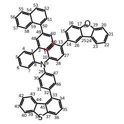 c1cc(-c2ccccc2N(c2ccc(-c3ccc4oc5ccccc5c4c3)cc2)c2ccc(-c3cccc4sc5ccccc5c34)cc2)cc(-c2cccc3ccccc23)c1